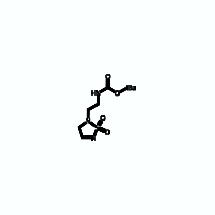 CC(C)(C)OC(=O)NCCN1CC=NS1(=O)=O